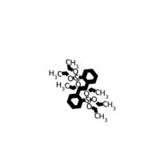 CCO[Si](OCC)(OCC)c1ccccc1C=Cc1ccccc1[Si](OCC)(OCC)OCC